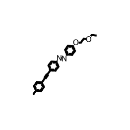 CCOCCOc1ccc(N=Nc2ccc(C#Cc3ccc(C)cc3)cc2)cc1